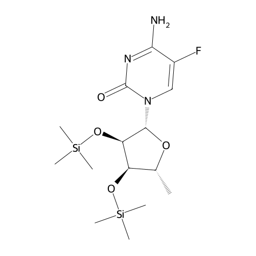 C[C@H]1O[C@@H](n2cc(F)c(N)nc2=O)[C@H](O[Si](C)(C)C)[C@@H]1O[Si](C)(C)C